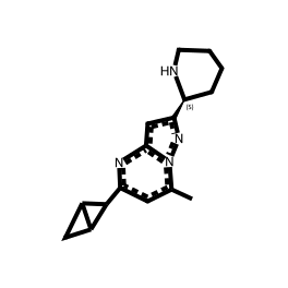 Cc1cc(C2C3CC32)nc2cc([C@@H]3CCCCN3)nn12